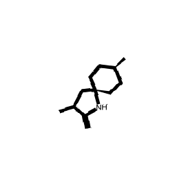 C=C1N[C@]2(CC[C@H](C)CC2)CC1C